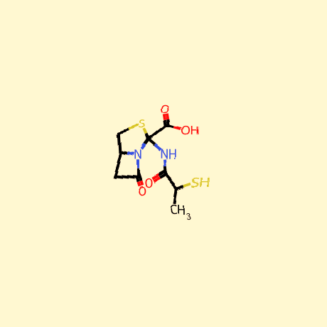 CC(S)C(=O)NC1(C(=O)O)SCC2CC(=O)N21